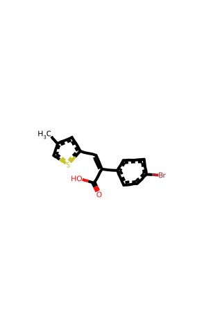 Cc1csc(C=C(C(=O)O)c2ccc(Br)cc2)c1